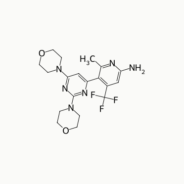 Cc1nc(N)cc(C(F)(F)F)c1-c1cc(N2CCOCC2)nc(N2CCOCC2)n1